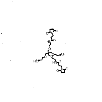 C#CCCOCC(COCCC#C)(COCCNC(=O)CCN1C(=O)C=CC1=O)COCCNC(=O)CCN1C(=O)C=CC1=O